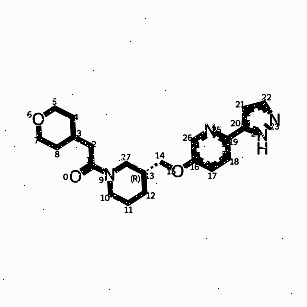 O=C(CC1CCOCC1)N1CCC[C@@H](COc2ccc(-c3ccn[nH]3)nc2)C1